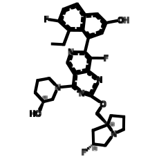 CCc1c(F)ccc2cc(O)cc(-c3ncc4c(N5CCC[C@H](O)C5)nc(OC[C@@]56CCCN5C[C@H](F)C6)nc4c3F)c12